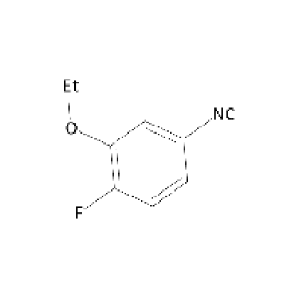 [C-]#[N+]c1ccc(F)c(OCC)c1